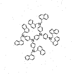 c1ccc2c(CN(Cc3cccc4ccccc34)c3ccc(N(c4ccc(N(Cc5cccc6ccccc56)Cc5cccc6ccccc56)cc4)c4ccc(N(c5ccc(N(Cc6cccc7ccccc67)Cc6cccc7ccccc67)cc5)c5ccc(N(Cc6cccc7ccccc67)Cc6cccc7ccccc67)cc5)cc4)cc3)cccc2c1